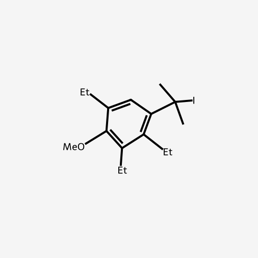 CCc1cc(C(C)(C)I)c(CC)c(CC)c1OC